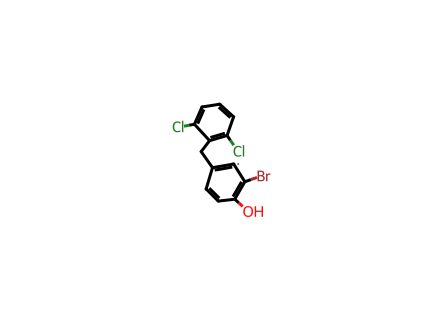 Oc1ccc(Cc2c(Cl)cccc2Cl)[c]c1Br